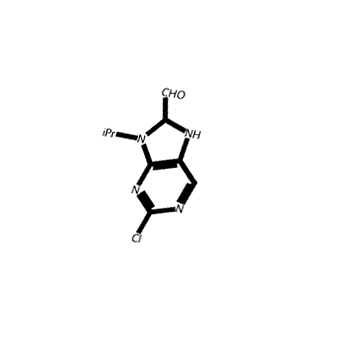 CC(C)N1c2nc(Cl)ncc2NC1C=O